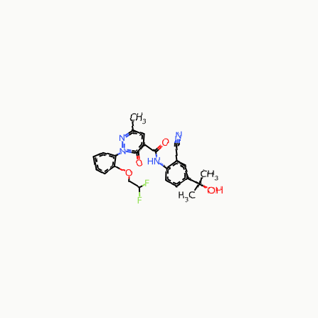 Cc1cc(C(=O)Nc2ccc(C(C)(C)O)cc2C#N)c(=O)n(-c2ccccc2OCC(F)F)n1